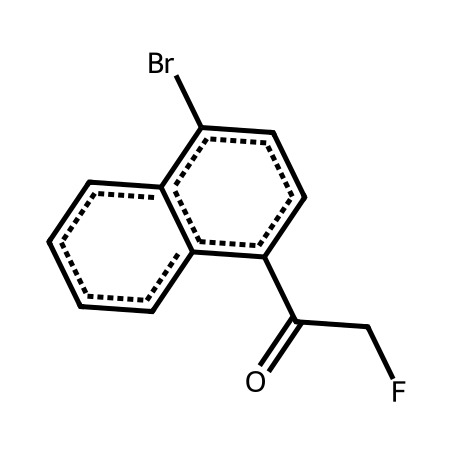 O=C(CF)c1ccc(Br)c2ccccc12